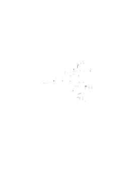 C=[C]([SnH])OC(CCCC)(CCCC)CCCCC